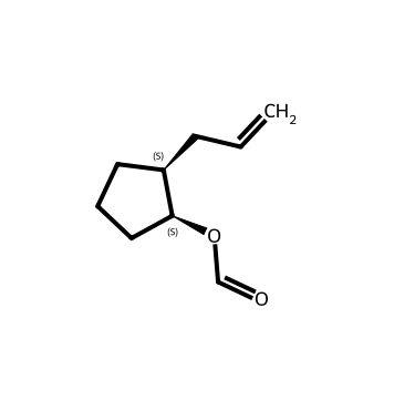 C=CC[C@@H]1CCC[C@@H]1OC=O